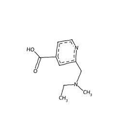 CCN(C)Cc1cc(C(=O)O)ccn1